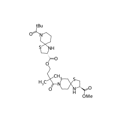 COC(=O)[C@@H]1CSC2(CCN(C(=O)C(C)(C)CCOC(=O)[C@@H]3CSC4(CCCN(C(=O)C(C)(C)C)C4)N3)CC2)N1